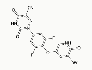 CC(C)c1cc(Oc2c(F)cc(-n3nc(C#N)c(=O)[nH]c3=O)cc2F)c[nH]c1=O